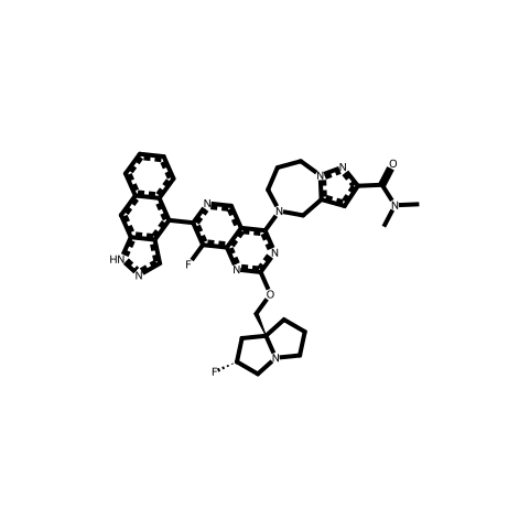 CN(C)C(=O)c1cc2n(n1)CCCN(c1nc(OC[C@@]34CCCN3C[C@H](F)C4)nc3c(F)c(-c4c5ccccc5cc5[nH]ncc45)ncc13)C2